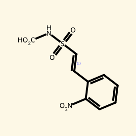 O=C(O)NS(=O)(=O)/C=C/c1ccccc1[N+](=O)[O-]